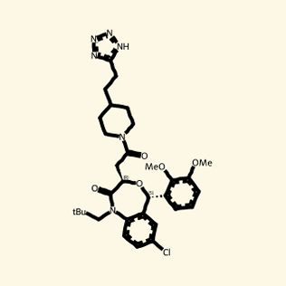 COc1cccc([C@H]2O[C@H](CC(=O)N3CCC(CCc4nnn[nH]4)CC3)C(=O)N(CC(C)(C)C)c3ccc(Cl)cc32)c1OC